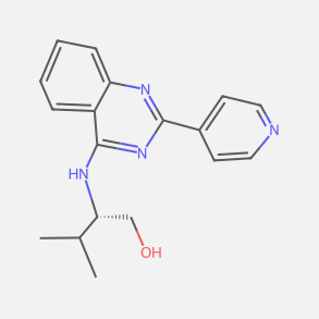 CC(C)[C@@H](CO)Nc1nc(-c2ccncc2)nc2ccccc12